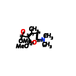 COC(=O)C(C(=O)OC)=C(C)/C=C/N(C)C